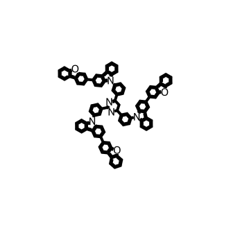 c1cc(C2=NC(c3cccc(-n4c5ccccc5c5cc(-c6ccc7c(c6)oc6ccccc67)ccc54)c3)=NC(c3cccc(-n4c5ccccc5c5cc(-c6ccc7c(c6)oc6ccccc67)ccc54)c3)C2)cc(-n2c3ccccc3c3cc(-c4ccc5c(c4)oc4ccccc45)ccc32)c1